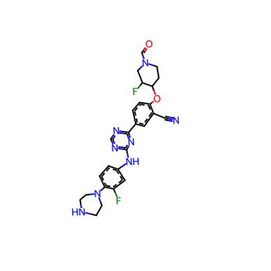 N#Cc1cc(-c2ncnc(Nc3ccc(N4CCNCC4)c(F)c3)n2)ccc1OC1CCN(C=O)CC1F